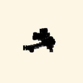 CC(=O)Oc1ccccc1C(=O)Nc1ncc([N+](=O)[O-])s1.CO[C@@H]1[C@H](OC(=O)/C=C/C=C/C=C/C=C/C(=O)O)CC[C@]2(CO2)[C@H]1[C@@]1(C)O[C@@H]1CC=C(C)C